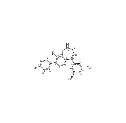 Cc1ccc(-c2ccc3c(c2F)CNCC=C3c2cc(F)cc(F)c2)nn1